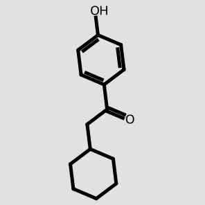 O=C(CC1CCCCC1)c1ccc(O)cc1